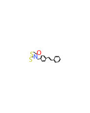 O=C1CSC(=S)N1Cc1ccc(C=Cc2ccccc2)cc1